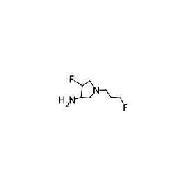 NC1CN(CCCF)CC1F